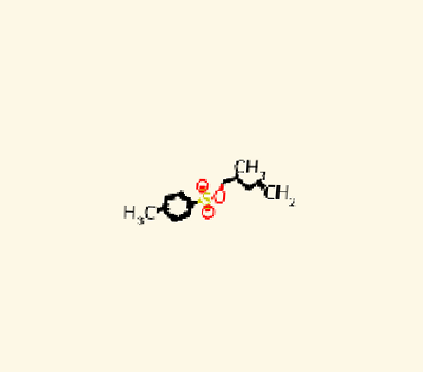 C=CCC(C)COS(=O)(=O)c1ccc(C)cc1